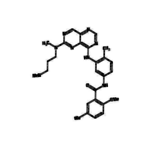 CNCCCN(C)c1ncc2ncnc(Nc3cc(NC(=O)c4cc(C(C)(C)C)ccc4OC)ccc3C)c2n1